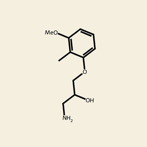 COc1cccc(OCC(O)CN)c1C